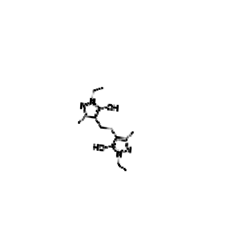 CCn1nc(C)c(CCc2c(C)nn(CC)c2O)c1O